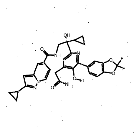 CCOc1c(CC(N)=O)cc([C@@](O)(CNC(=O)c2ccn3nc(C4CC4)cc3c2)C2CC2)nc1-c1ccc2c(c1)OC(F)(F)O2